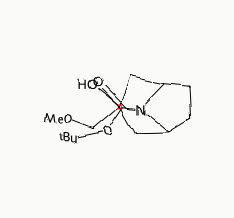 COCC1(O)CC2CCC(C1)N2C(=O)OC(C)(C)C